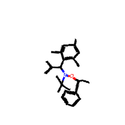 Cc1cc(C)c(C(C(C)C)N(OC(C)c2ccccc2)C(C)(C)C)c(C)c1